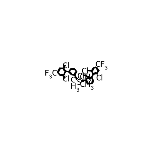 CC(C)(SC(C)(C)c1cccc(-c2c(Cl)cc(C(F)(F)F)cc2Cl)c1)c1cccc(-c2c(Cl)cc(C(F)(F)F)cc2Cl)c1